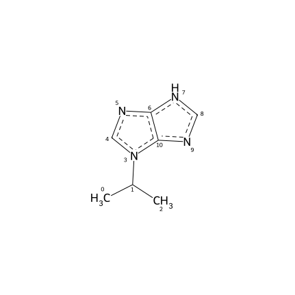 CC(C)n1cnc2[nH]cnc21